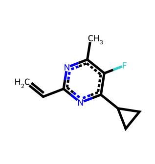 C=Cc1nc(C)c(F)c(C2CC2)n1